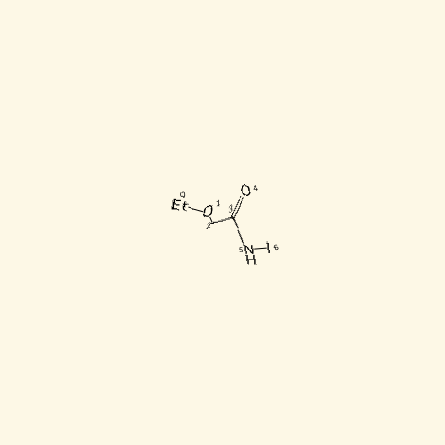 CCOCC(=O)NI